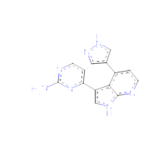 Nc1nccc(-c2c[nH]c3nccc(-c4cn[nH]c4)c23)n1